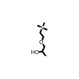 [CH2]C(O)COCC[Si](C)(C)C